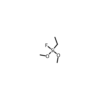 CC[Si](F)(OC)OC